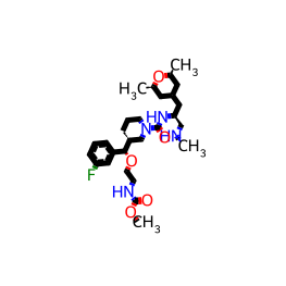 CNC[C@H](CC1C[C@@H](C)O[C@@H](C)C1)NC(=O)N1CCC[C@@H]([C@@H](OCCNC(=O)OC)c2cccc(F)c2)C1